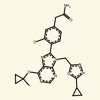 CC1(Oc2ncnc3c2nc(-c2ccc(CC(N)=O)cc2Cl)n3Cc2nnc(C3CC3)o2)CC1